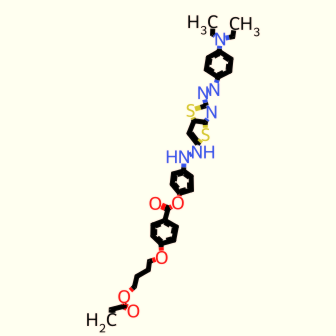 C=CC(=O)OCCCCOc1ccc(C(=O)Oc2ccc(NNC3=CC4SC(N=Nc5ccc(N(CC)CC)cc5)=NC4S3)cc2)cc1